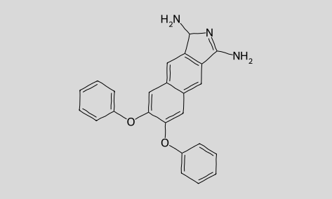 NC1=NC(N)c2cc3cc(Oc4ccccc4)c(Oc4ccccc4)cc3cc21